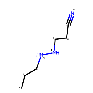 CCCNNCCC#N